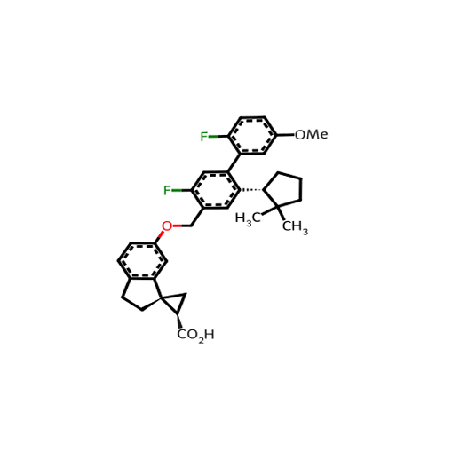 COc1ccc(F)c(-c2cc(F)c(COc3ccc4c(c3)[C@]3(CC4)C[C@H]3C(=O)O)cc2[C@@H]2CCCC2(C)C)c1